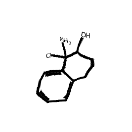 NC1(Cl)c2ccccc2CCC1O